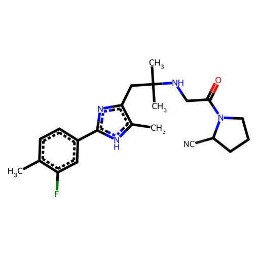 Cc1ccc(-c2nc(CC(C)(C)NCC(=O)N3CCCC3C#N)c(C)[nH]2)cc1F